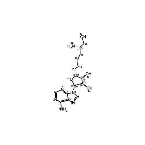 Nc1ncnc2c1ncn2[C@@H]1O[C@H](CSCC[C@H](N)CO)[C@@H](O)[C@H]1O